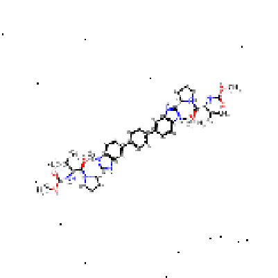 COC(=O)N[C@H](C(=O)N1CCC[C@H]1c1nc2cc(-c3ccc(-c4ccc5c(c4)nc([C@@H]4CCCN4C(=O)[C@@H](NC(=O)OC)C(C)C)n5C)cc3)ccc2n1C)C(C)C